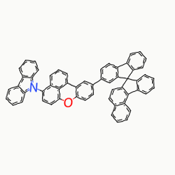 c1ccc2c(c1)-c1ccc(-c3ccc4c(c3)-c3cccc5c(-n6c7ccccc7c7ccccc76)ccc(c35)O4)cc1C21c2ccccc2-c2c1ccc1ccccc21